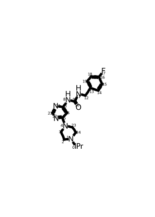 CC(C)N1CCN(c2cc(NC(=O)NCc3ccc(F)cc3)ncn2)CC1